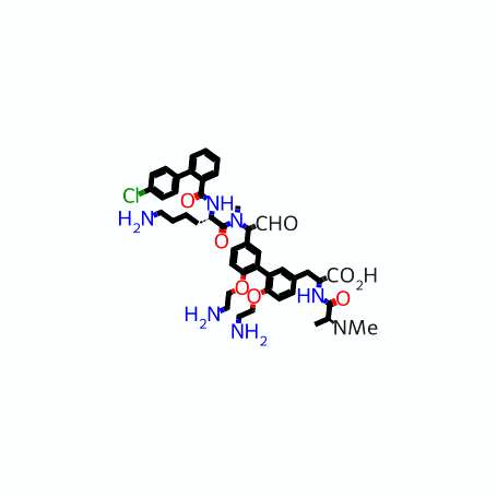 CN[C@@H](C)C(=O)NC(Cc1ccc(OCCN)c(-c2cc(C(C=O)N(C)C(=O)[C@H](CCCCN)NC(=O)c3ccccc3-c3ccc(Cl)cc3)ccc2OCCN)c1)C(=O)O